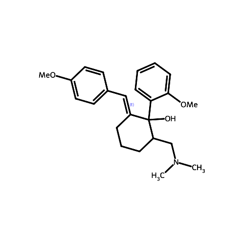 COc1ccc(/C=C2\CCCC(CN(C)C)C2(O)c2ccccc2OC)cc1